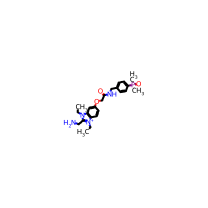 CCn1c(CN)[n+](CC)c2ccc(OCC(=O)NCc3ccc(P(C)(C)=O)cc3)cc21